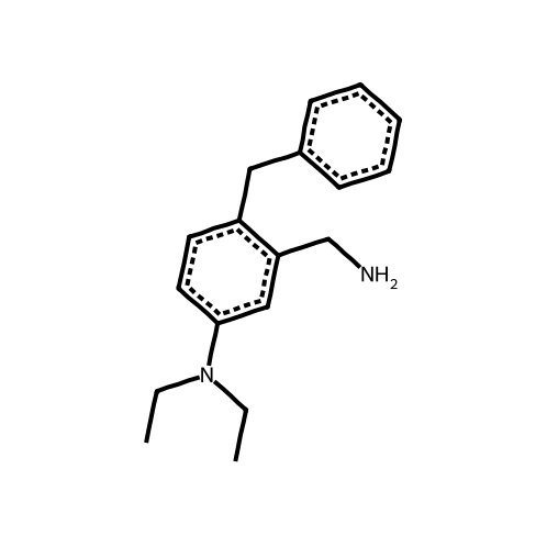 CCN(CC)c1ccc(Cc2ccccc2)c(CN)c1